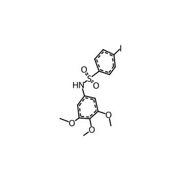 COc1cc(NS(=O)(=O)c2ccc(I)cc2)cc(OC)c1OC